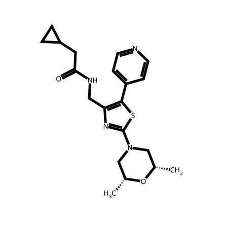 C[C@@H]1CN(c2nc(CNC(=O)CC3CC3)c(-c3ccncc3)s2)C[C@H](C)O1